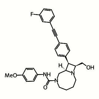 COc1ccc(NC(=O)N2CCCCN3[C@H](CO)[C@H](c4ccc(C#Cc5cccc(F)c5)cc4)[C@@H]3C2)cc1